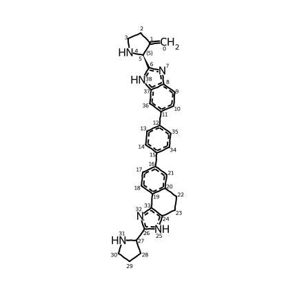 C=C1CCN[C@@H]1c1nc2ccc(-c3ccc(-c4ccc5c(c4)CCc4[nH]c(C6CCCN6)nc4-5)cc3)cc2[nH]1